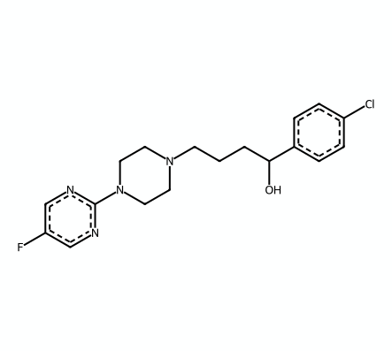 OC(CCCN1CCN(c2ncc(F)cn2)CC1)c1ccc(Cl)cc1